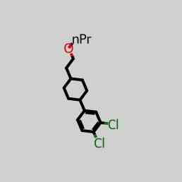 CCCOCCC1CCC(c2ccc(Cl)c(Cl)c2)CC1